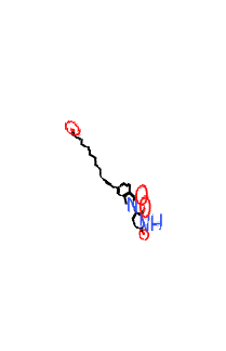 O=CCCCCCCCCC#Cc1ccc2c(c1)CN(C1CCC(=O)NC1=O)C2=O